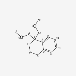 COCC1(COC)CCCc2ccccc21